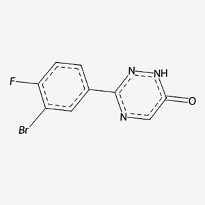 O=c1cnc(-c2ccc(F)c(Br)c2)n[nH]1